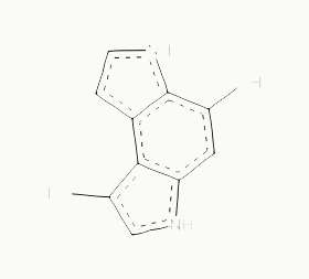 Cc1cc2[nH]cc(C)c2c2cc[nH]c12